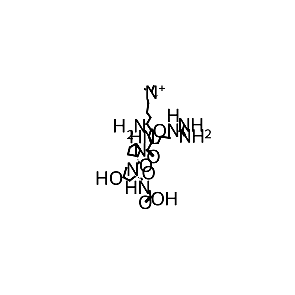 C[N+](C)(C)CCCC[C@H](N)C(=O)N[C@@H](CCCNC(=N)N)C(=O)N1CCC[C@H]1C(=O)N1C[C@H](O)C[C@H]1C(=O)NCC(=O)O